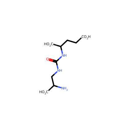 NC(CNC(=O)NC(CCC(=O)O)C(=O)O)C(=O)O